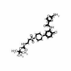 CC(C)(C)OC(=O)NCCS(=O)(=O)N1CCN(c2ccc(Cl)c(NC(=O)c3coc(N)n3)c2)CC1